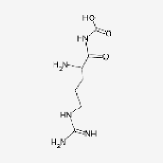 N=C(N)NCCCC(N)C(=O)NC(=O)O